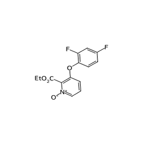 CCOC(=O)c1c(Oc2ccc(F)cc2F)ccc[n+]1[O-]